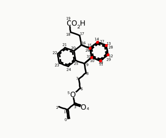 C=C(C)C(=O)OCCCC12c3ccccc3C(CCC(=O)O)(c3ccccc31)c1ccccc12